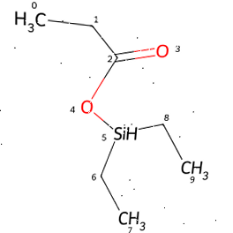 CCC(=O)O[SiH](CC)CC